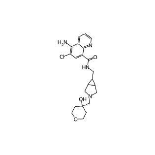 Nc1c(Cl)cc(C(=O)NCC2C3CN(CC4(O)CCOCC4)CC23)c2ncccc12